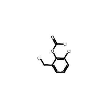 O=C(Cl)Oc1c(Cl)cccc1CCl